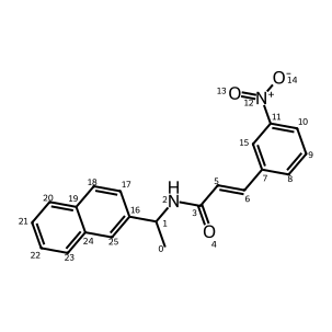 CC(NC(=O)C=Cc1cccc([N+](=O)[O-])c1)c1ccc2ccccc2c1